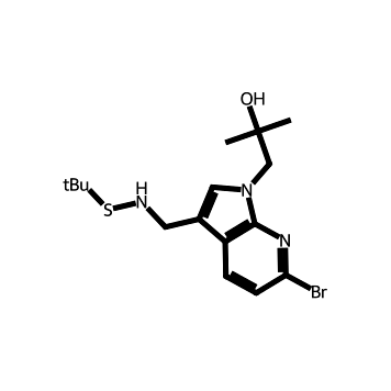 CC(C)(O)Cn1cc(CNSC(C)(C)C)c2ccc(Br)nc21